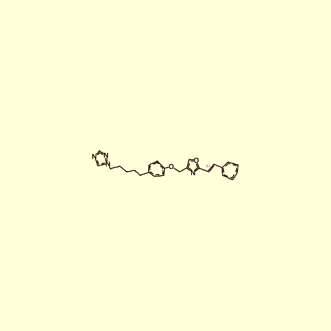 C(=C\c1nc(COc2ccc(CCCCCn3cncn3)cc2)co1)/c1ccccc1